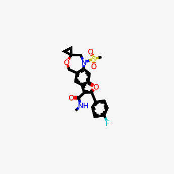 CNC(=O)c1c(-c2ccc(F)cc2)oc2cc3c(cc12)COC1(CC1)CN3S(C)(=O)=O